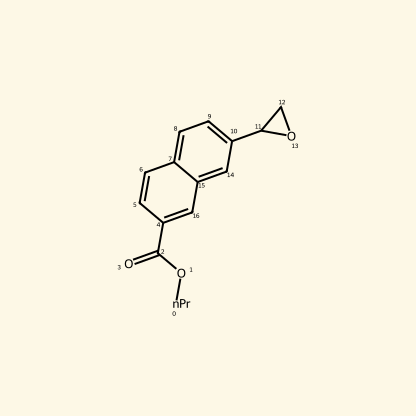 CCCOC(=O)c1ccc2ccc(C3CO3)cc2c1